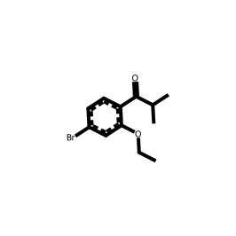 CCOc1cc(Br)ccc1C(=O)C(C)C